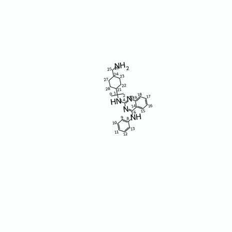 CC(C)(Nc1nc(Nc2ccccc2)c2ccccc2n1)C1CCC(CN)CC1